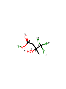 CC(O)(CC(=O)OF)C(F)(F)F